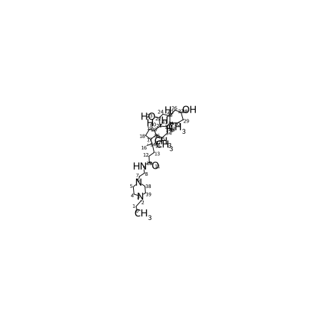 CCCN1CCN(CCNC(=O)CC[C@@]2(C)C[C@@]23CC[C@H]2[C@@H]4[C@@H](O)C[C@@H]5C[C@H](O)CC[C@]5(C)[C@H]4CC[C@@]23C)CC1